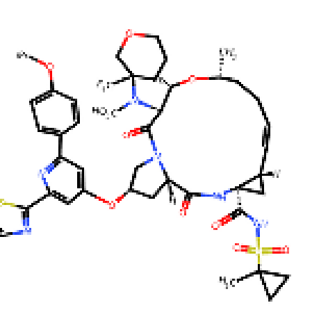 CC[C@@H]1O[C@H](C)CCC=C[C@@H]2C[C@@]2(C(=O)NS(=O)(=O)C2(C)CC2)NC(=O)[C@@H]2C[C@@H](Oc3cc(-c4ccc(OC(C)C)cc4)nc(-c4nccs4)c3)CN2C(=O)[C@H]1N(C(=O)O)C1(C(F)(F)F)CCCOC1